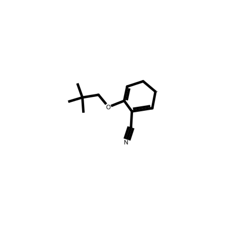 CC(C)(C)COC1=CC[CH]C=C1C#N